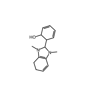 CN1C2=C(CCC=C2)N(C)C1C1C=CC=CC1O